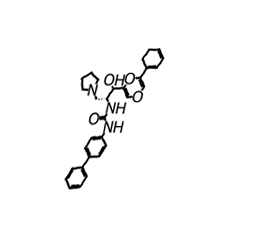 O=C(Nc1ccc(-c2ccccc2)cc1)N[C@H](CN1CCCC1)[C@@H](O)C1=COC=C(C2=CC=CCC2)O1